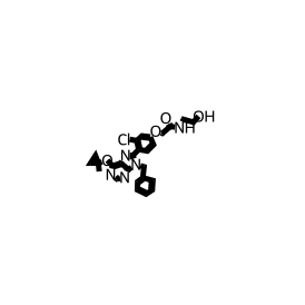 CC1(Oc2ncnc3c2nc(-c2ccc(OCC(=O)NCCO)cc2Cl)n3Cc2ccccc2)CC1